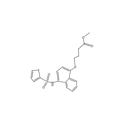 COC(=O)CCCOc1ccc(NS(=O)(=O)c2cccs2)c2ccccc12